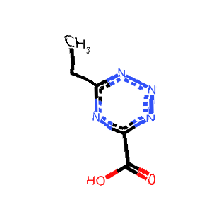 CCc1nnnc(C(=O)O)n1